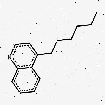 CCCCCCc1c[c]nc2ccccc12